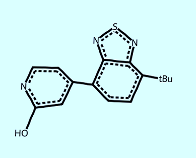 CC(C)(C)c1ccc(-c2ccnc(O)c2)c2nsnc12